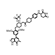 COc1cc(-c2cn(C)c(=O)c3[nH]ncc23)cc(OC)c1CN1CCN(CC(=O)N2CCC(c3ccc(NC4CCC(=O)NC4=O)cc3)CC2)CC1.O=C(O)C(F)(F)F